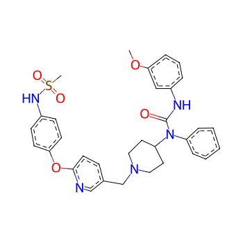 COc1cccc(NC(=O)N(c2ccccc2)C2CCN(Cc3ccc(Oc4ccc(NS(C)(=O)=O)cc4)nc3)CC2)c1